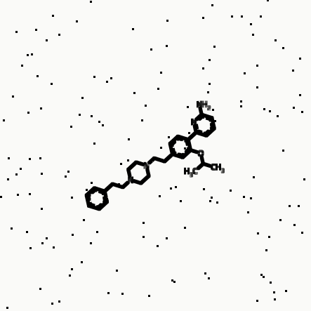 CC(C)Oc1cc(CCN2CCN(CCc3ccccc3)CC2)ccc1-c1cccc(N)n1